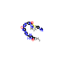 CCc1cc2ncc(CN3CCN(c4ccc(C(=O)N5CCN(CC6CCN(C(=O)c7nnc(SCc8ccc(-n9ccnc9)cc8C)s7)CC6)CC5)nc4)CC3)cc2[nH]c1=O